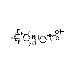 CCc1cc(C(F)(C(F)(F)F)C(F)(F)F)cc(C)c1NC(=O)c1ccc(C(C)NC(=O)OC(C)(C)C)cc1